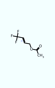 CC(=O)OC/C=C/C(F)(F)F